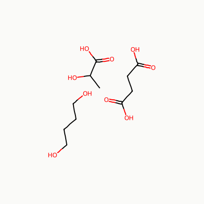 CC(O)C(=O)O.O=C(O)CCC(=O)O.OCCCCO